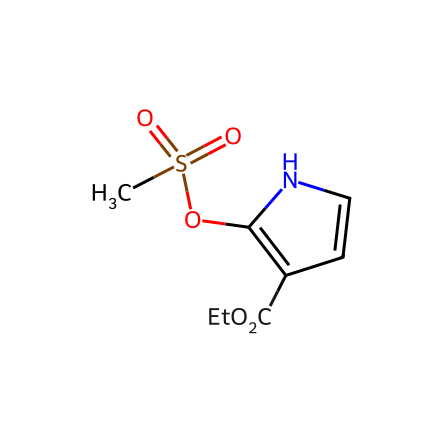 CCOC(=O)c1cc[nH]c1OS(C)(=O)=O